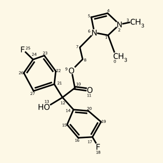 CC1N(C)C=CN1CCOC(=O)C(O)(c1ccc(F)cc1)c1ccc(F)cc1